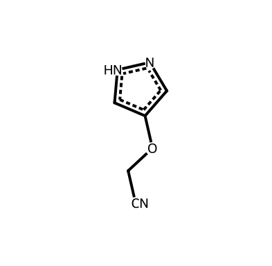 N#CCOc1cn[nH]c1